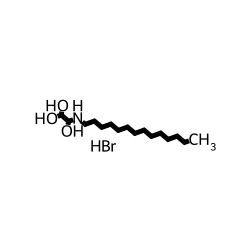 Br.CCCCCCCCCCCCCCNC(O)C(O)O